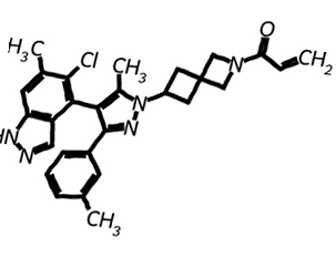 C=CC(=O)N1CC2(CC(n3nc(-c4cccc(C)c4)c(-c4c(Cl)c(C)cc5[nH]ncc45)c3C)C2)C1